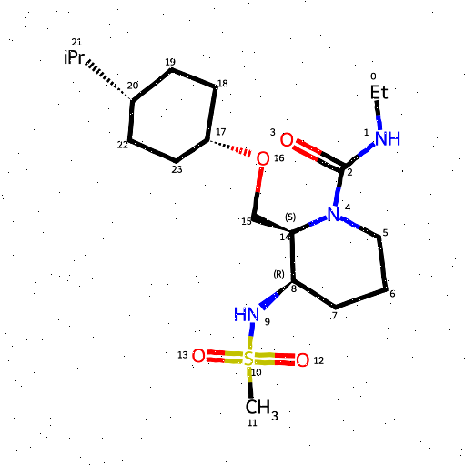 CCNC(=O)N1CCC[C@@H](NS(C)(=O)=O)[C@H]1CO[C@H]1CC[C@@H](C(C)C)CC1